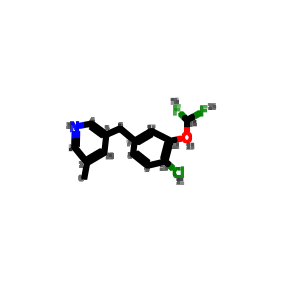 Cc1cncc([CH]c2ccc(Cl)c(OC(F)F)c2)c1